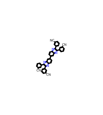 N#Cc1cccc(-c2nc3ccc(-c4ccc5nc(-c6cccc(C#N)c6)c(-c6cccc(C#N)c6)nc5c4)cc3nc2-c2cccc(C#N)c2)c1